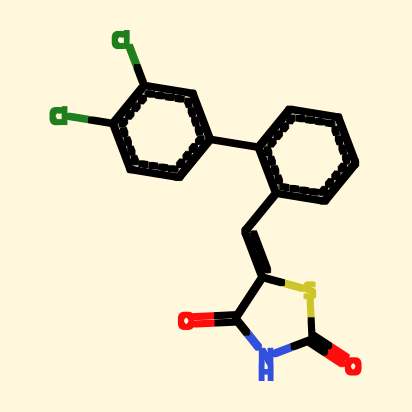 O=C1NC(=O)C(=Cc2ccccc2-c2ccc(Cl)c(Cl)c2)S1